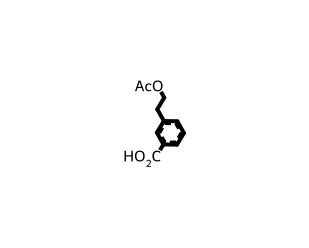 CC(=O)OCCc1cccc(C(=O)O)c1